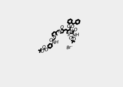 CC(C)(C)OC(=O)NC1C(=O)N2C(C(=O)OC(c3ccccc3)c3ccccc3)=C(C=C3CCN(Cc4ccc[n+](CC(=O)Nc5ccc(OC(=O)OC(C)(C)C)cc5)c4)C3=O)CSC12.[Br-]